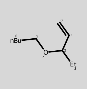 C=CC(CC)OCCCCC